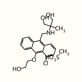 CC(CO)(CO)NCc1c2ccccc2c(OCCO)c2c(Cl)cccc12.CS(=O)(=O)O